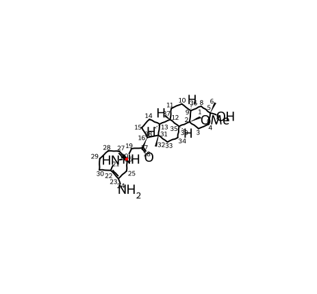 COC[C@]12CC[C@@](C)(O)C[C@@H]1CC[C@H]1[C@@H]3CC[C@H](C(=O)CNN/C4=C(/N)C/C=C\CCC4)[C@@]3(C)CC[C@@H]12